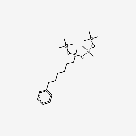 C[Si](C)(C)O[Si](C)(C)O[Si](C)(CCCCCCc1ccccc1)O[Si](C)(C)C